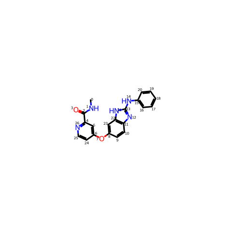 CNC(=O)c1cc(Oc2ccc3nc(Nc4ccccc4)[nH]c3c2)ccn1